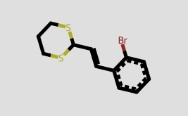 Brc1ccccc1C=CC1SCCCS1